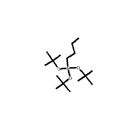 CCCC[Si](OC(C)(C)C)(OC(C)(C)C)OC(C)(C)C